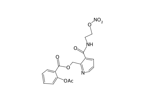 CC(=O)Oc1ccccc1C(=O)OCc1ncccc1C(=O)NCCO[N+](=O)[O-]